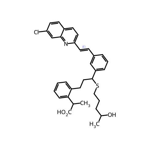 CC(O)CCCSC(CCc1ccccc1C(C)C(=O)O)c1cccc(/C=C/c2ccc3ccc(Cl)cc3n2)c1